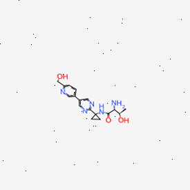 C[C@@H](O)[C@H](N)C(=O)NC1(c2ncc(-c3ccc(CO)nc3)cn2)CC1